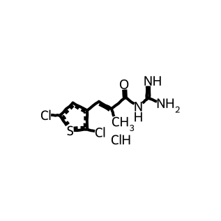 C/C(=C\c1cc(Cl)sc1Cl)C(=O)NC(=N)N.Cl